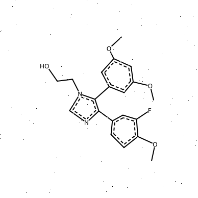 COc1cc(OC)cc(-c2c(-c3ccc(OC)c(F)c3)ncn2CCO)c1